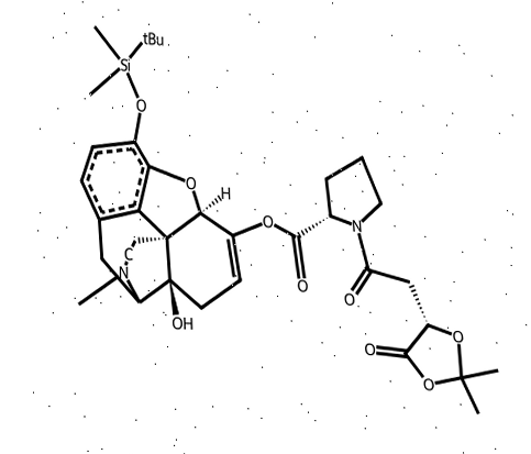 CN1CC[C@]23c4c5ccc(O[Si](C)(C)C(C)(C)C)c4O[C@H]2C(OC(=O)[C@@H]2CCCN2C(=O)C[C@@H]2OC(C)(C)OC2=O)=CC[C@]3(O)C1C5